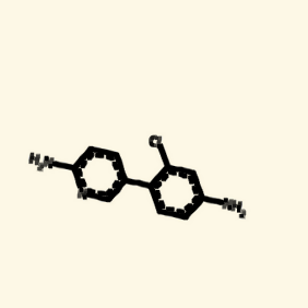 Nc1ccc(-c2ccc(N)nc2)c(Cl)c1